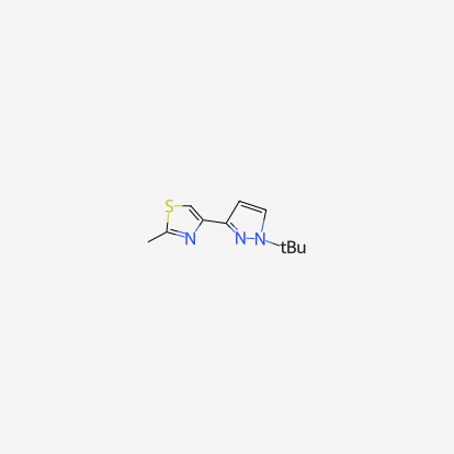 Cc1nc(-c2ccn(C(C)(C)C)n2)cs1